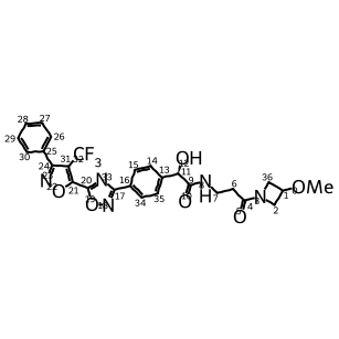 COC1CN(C(=O)CCNC(=O)[C@H](O)c2ccc(-c3noc(-c4onc(-c5ccccc5)c4C(F)(F)F)n3)cc2)C1